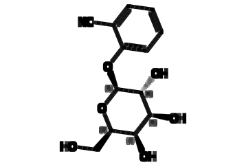 N#Cc1ccccc1O[C@@H]1O[C@H](CO)[C@H](O)[C@H](O)[C@H]1O